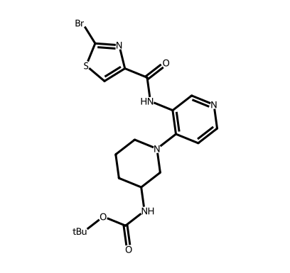 CC(C)(C)OC(=O)NC1CCCN(c2ccncc2NC(=O)c2csc(Br)n2)C1